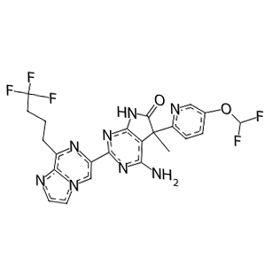 CC1(c2ccc(OC(F)F)cn2)C(=O)Nc2nc(-c3cn4ccnc4c(CCCC(F)(F)F)n3)nc(N)c21